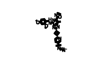 COc1ccc(CNc2nc(-c3ncco3)c(C)c3nc([C@H]4C[C@@H](c5ccc(C(C)(C)N=[N+]=[N-])cn5)C4)nn23)c(OC)c1